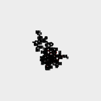 CC(C)C[C@H](NC(=O)[C@H](CCCCN)NC(=O)CNC(=O)[C@H](CO)NC(=O)[C@H](CC(C)C)NC(=O)[C@H](CO)NC(=O)[C@H](CCCNC(=N)N)NC(=O)[C@@H]1CCCN1C(=O)CNC(=O)[C@H](CCCCN)NC(=O)[C@H](CC(C)C)NC(=O)[C@@H](N)CS)C(=O)N[C@@H](Cc1c[nH]cn1)C(=O)N[C@@H](Cc1c[nH]cn1)C(=O)N[C@@H](Cc1c[nH]cn1)C(=O)N[C@@H](Cc1c[nH]cn1)C(=O)N[C@@H](Cc1c[nH]cn1)C(=O)N[C@@H](Cc1c[nH]cn1)C(=O)O